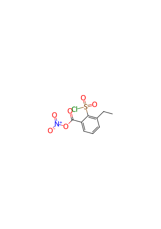 CCc1cccc(C(=O)O[N+](=O)[O-])c1S(=O)(=O)Cl